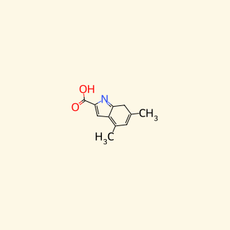 CC1=CC(C)=C2C=C(C(=O)O)N=C2C1